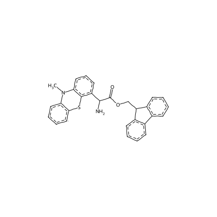 CN1c2ccc[c]c2Sc2c(C(N)C(=O)OCC3c4ccccc4-c4ccccc43)cccc21